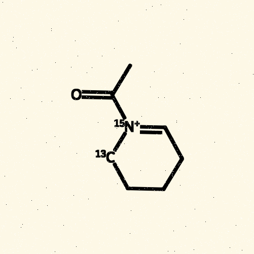 CC(=O)[15N+]1=CCCC[13CH2]1